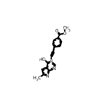 COC(=O)c1ccc(C#Cn2cnc3nc(C)cc-3c2O)cc1